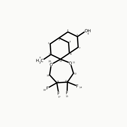 CC1CC2CC(O)CC(C2)C12OCC(F)(F)C(F)(F)CO2